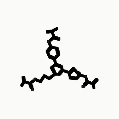 C=C(C)C(=O)OCCCc1cc(-c2ccc(OC(=O)C(=C)C)cc2)cc(-c2ccc(OC(=O)C(=C)C)cc2)c1